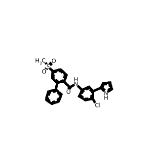 CS(=O)(=O)c1ccc(C(=O)Nc2ccc(Cl)c(-c3ccc[nH]3)c2)c(-c2ccccc2)c1